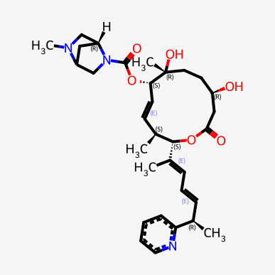 C/C(=C\C=C\[C@@H](C)c1ccccn1)[C@H]1OC(=O)C[C@H](O)CC[C@@](C)(O)[C@@H](OC(=O)N2CC3C[C@@H]2CN3C)/C=C/[C@@H]1C